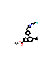 COC(=O)c1ccc2c(c1)CCC(C1CC1)C=C2c1ccc(CC2CN(CCCF)C2)cc1